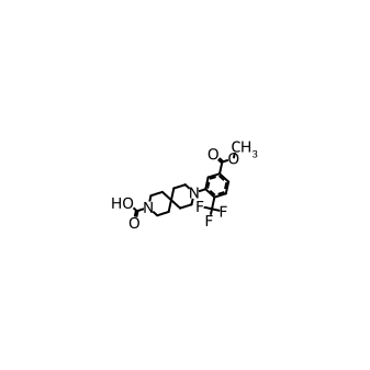 COC(=O)c1ccc(C(F)(F)F)c(N2CCC3(CCN(C(=O)O)CC3)CC2)c1